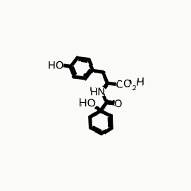 O=C(O)C(Cc1ccc(O)cc1)NC(=O)C1(O)C=CC=CC1